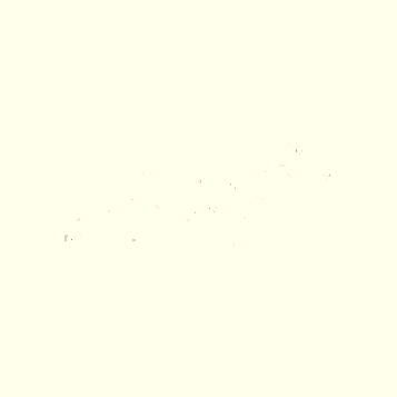 COc1ccc(C2CC(C(F)(F)F)n3nc(-c4cccc(C(=O)NC5CCNC5)c4)cc3N2)cc1OC